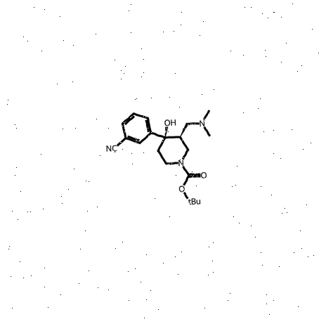 CN(C)C[C@H]1CN(C(=O)OC(C)(C)C)CC[C@]1(O)c1cccc(C#N)c1